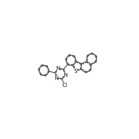 Clc1nc(-c2ccccc2)nc(-c2cccc3c2sc2ccc4ccccc4c23)n1